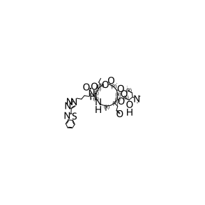 CC[C@H]1OC(=O)[C@H](C)C(=O)[C@H](C)[C@@H](O[C@@H]2O[C@H](C)CC(N(C)C)C2O)[C@@H](CC=O)C[C@@H](C)CN[C@H](C)[C@H]2N(CCCCn3cc(-c4nc5ccccc5s4)nn3)C(=O)O[C@]12C